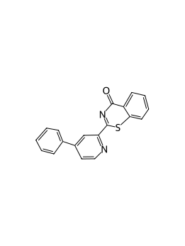 O=c1nc(-c2cc(-c3ccccc3)ccn2)sc2ccccc12